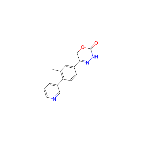 Cc1cc(C2=NNC(=O)OC2)ccc1-c1cccnc1